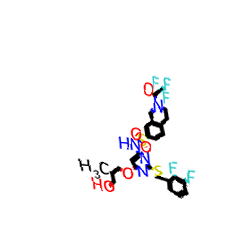 C[C@H](CO)COc1cc(NS(=O)(=O)c2ccc3c(c2)CN(C(=O)C(F)(F)F)CC3)nc(SCc2cccc(F)c2F)n1